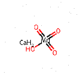 [CaH2].[O]=[Mn](=[O])(=[O])[OH]